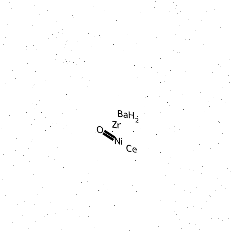 [BaH2].[Ce].[O]=[Ni].[Zr]